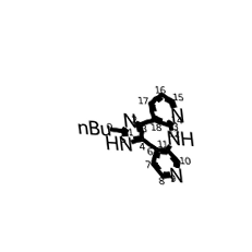 CCCCc1nc2c([nH]1)-c1ccncc1Nc1ncccc1-2